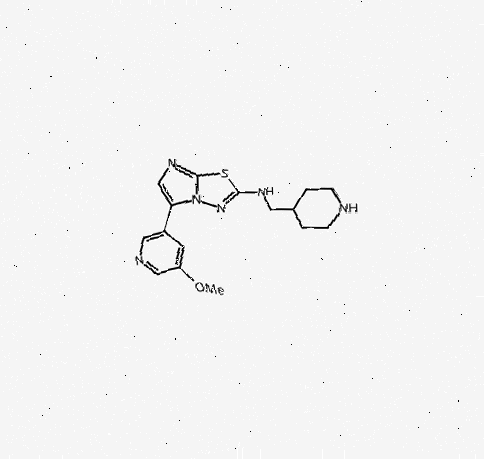 COc1cncc(-c2cnc3sc(NCC4CCNCC4)nn23)c1